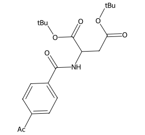 CC(=O)c1ccc(C(=O)NC(CC(=O)OC(C)(C)C)C(=O)OC(C)(C)C)cc1